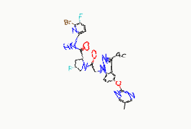 CC(=O)c1nn(CC(=O)N2C[C@H](F)C[C@H]2C(=O)Nc2ccc(F)c(Br)n2)c2ccc(Oc3ncc(C)cn3)cc12